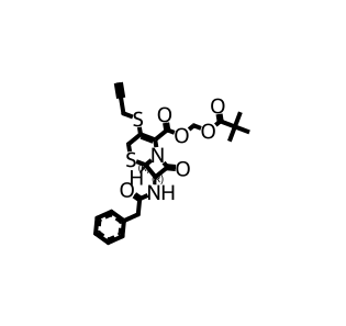 C#CCSC1=C(C(=O)OCOC(=O)C(C)(C)C)N2C(=O)[C@@H](NC(=O)Cc3ccccc3)[C@H]2SC1